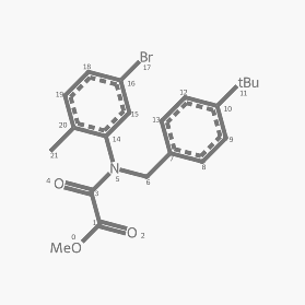 COC(=O)C(=O)N(Cc1ccc(C(C)(C)C)cc1)c1cc(Br)ccc1C